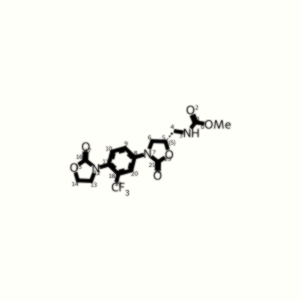 COC(=O)NC[C@H]1CN(c2ccc(N3CCOC3=O)c(C(F)(F)F)c2)C(=O)O1